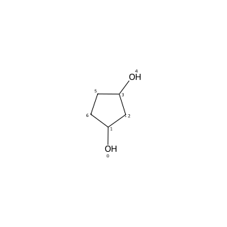 OC1[CH]C(O)CC1